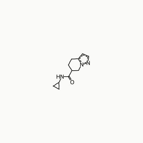 O=C(NC1CC1)C1CCc2ccnn2C1